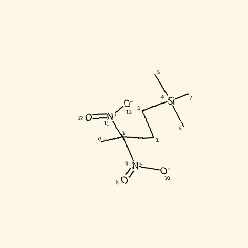 CC(CC[Si](C)(C)C)([N+](=O)[O-])[N+](=O)[O-]